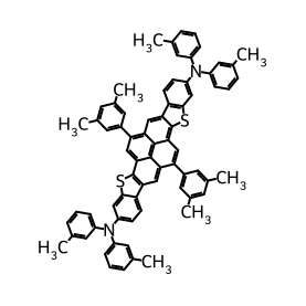 Cc1cc(C)cc(-c2cc3c4sc5cc(N(c6cccc(C)c6)c6cccc(C)c6)ccc5c4cc4c(-c5cc(C)cc(C)c5)cc5c6sc7cc(N(c8cccc(C)c8)c8cccc(C)c8)ccc7c6cc2c5c43)c1